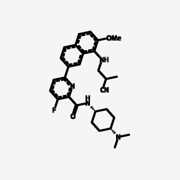 COc1ccc2ccc(-c3ccc(F)c(C(=O)N[C@H]4CC[C@@H](N(C)C)CC4)n3)cc2c1NCC(C)C#N